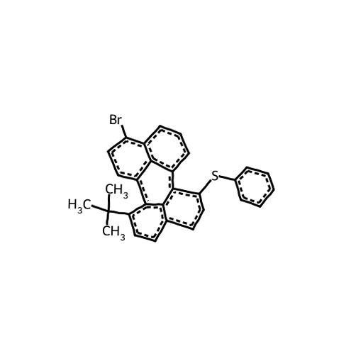 CC(C)(C)c1ccc2ccc(Sc3ccccc3)c3c4cccc5c(Br)ccc(c1c23)c54